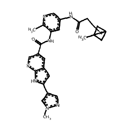 Cc1ncc(NC(=O)CN2CC3CC2(C)C3)cc1NC(=O)c1cnc2[nH]c(-c3cnn(C)c3)cc2c1